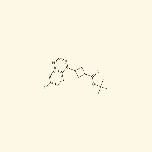 CC(C)(C)OC(=O)N1CC(c2ccnc3cc(F)ccc23)C1